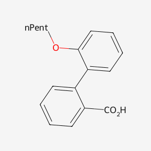 CCCCCOc1ccccc1-c1ccccc1C(=O)O